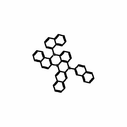 c1cc2c3c(c1)N(c1cccc4ccccc14)c1c(ccc4ccccc14)B3c1cc3ccccc3cc1N2c1ccc2ccccc2c1